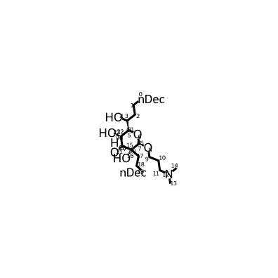 CCCCCCCCCCCCC(O)[C@H]1O[C@@H](OCCCN(C)C)[C@@](O)(CCCCCCCCCCCC)[C@@H](O)[C@H]1O